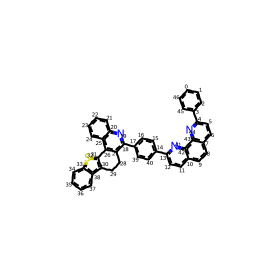 c1ccc(-c2ccc3ccc4ccc(-c5ccc(-c6nc7ccccc7c7c6CCc6c-7sc7ccccc67)cc5)nc4c3n2)cc1